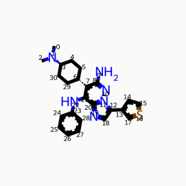 CN(C)[C@H]1CC[C@H](c2c(N)nn3c(-c4ccsc4)cnc3c2Nc2ccccc2)CC1